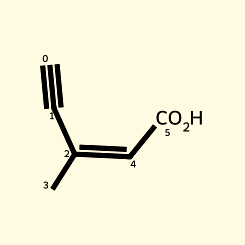 C#CC(C)=CC(=O)O